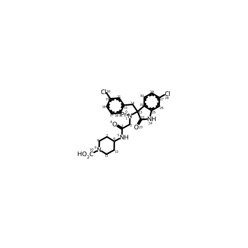 CC(C)N(CC(=O)NC1CCN(C(=O)O)CC1)C1(Cc2cccc(Cl)c2)C(=O)Nc2cc(Cl)ccc21